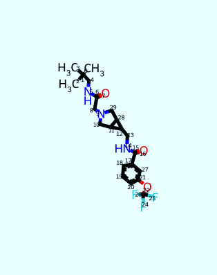 CC(C)(C)CNC(=O)CN1CC2C(CNC(=O)c3cccc(OC(F)(F)F)c3)C2C1